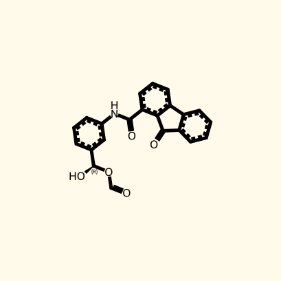 O=CO[C@@H](O)c1cccc(NC(=O)c2cccc3c2C(=O)c2ccccc2-3)c1